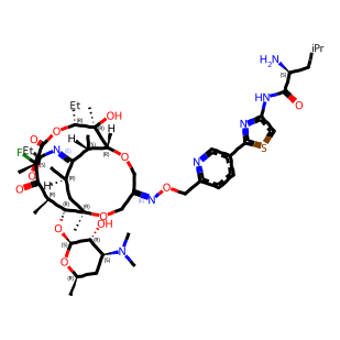 CCC(=O)/N=C1\[C@H](C)C[C@@]2(C)OC/C(=N/OCc3ccc(-c4nc(NC(=O)[C@@H](N)CC(C)C)cs4)cn3)CO[C@H]([C@H]1C)[C@](C)(O)[C@@H](CC)OC(=O)[C@@](C)(F)C(=O)[C@H](C)[C@H]2O[C@@H]1O[C@H](C)C[C@H](N(C)C)[C@H]1O